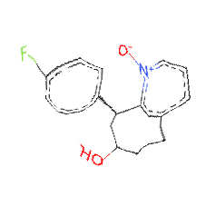 [O-][n+]1cccc2c1C(c1ccc(F)cc1)C(O)CC2